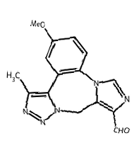 COc1ccc2c(c1)-c1c(C)nnn1Cc1c(C=O)ncn1-2